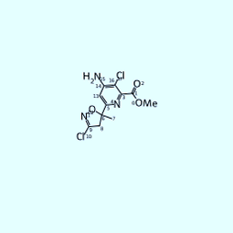 COC(=O)c1nc(C2(C)CC(Cl)=NO2)cc(N)c1Cl